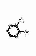 CC(=O)c1nccnc1O